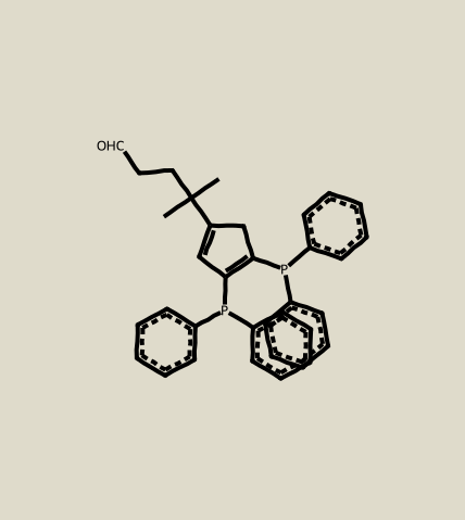 CC(C)(CCC=O)C1=CC(P(c2ccccc2)c2ccccc2)=C(P(c2ccccc2)c2ccccc2)C1